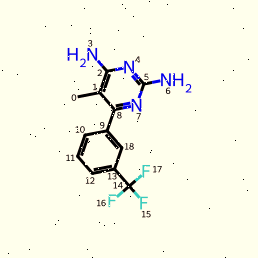 Cc1c(N)nc(N)nc1-c1cccc(C(F)(F)F)c1